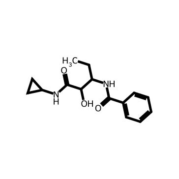 CCC(NC(=O)c1ccccc1)C(O)C(=O)NC1CC1